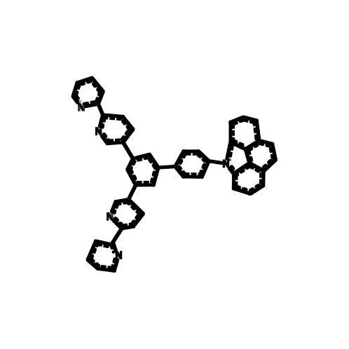 c1ccc(-c2ccc(-c3cc(-c4ccc(-n5c6cccc7ccc8cccc5c8c76)cc4)cc(-c4ccc(-c5ccccn5)nc4)c3)cn2)nc1